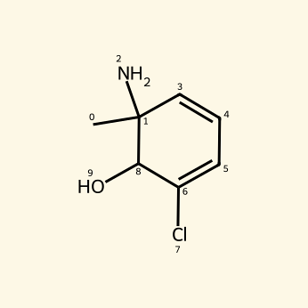 CC1(N)C=CC=C(Cl)C1O